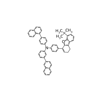 CC(C)(C)c1cccc2c3c(oc12)C(c1ccc(N(c2ccc(-c4cccc5ccccc45)cc2)c2cccc(-c4ccc5ccccc5c4)c2)cc1)=CCC3